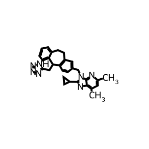 Cc1cc(C)c2nc(C3CC3)n(Cc3ccc4c(c3)CCc3ccccc3C4Cc3nnn[nH]3)c2n1